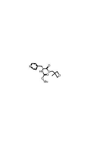 CC1(COC(=O)[C@H](Cc2ccncc2)NC(=O)OC(C)(C)C)COC1